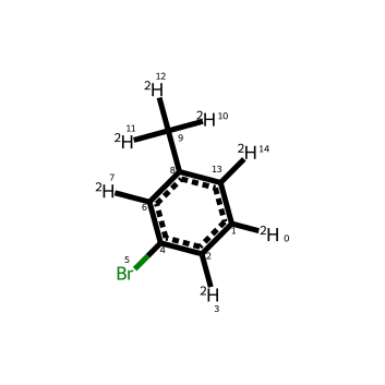 [2H]c1c([2H])c(Br)c([2H])c(C([2H])([2H])[2H])c1[2H]